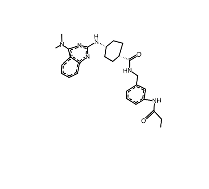 CCC(=O)Nc1cccc(CNC(=O)[C@H]2CC[C@@H](Nc3nc(N(C)C)c4ccccc4n3)CC2)c1